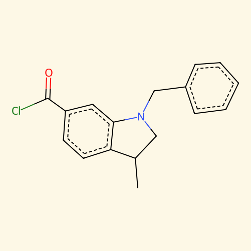 CC1CN(Cc2ccccc2)c2cc(C(=O)Cl)ccc21